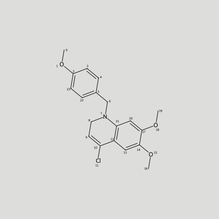 COc1ccc(CN2CC=C(Cl)c3cc(OC)c(OC)cc32)cc1